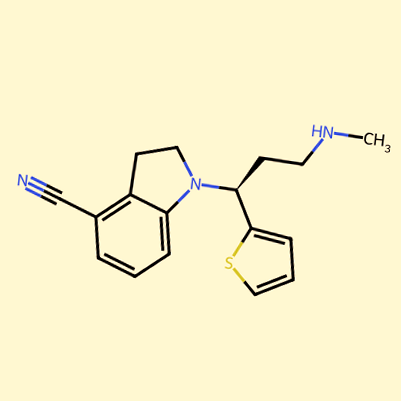 CNCC[C@@H](c1cccs1)N1CCc2c(C#N)cccc21